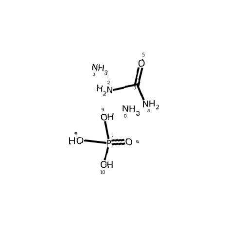 N.N.NC(N)=O.O=P(O)(O)O